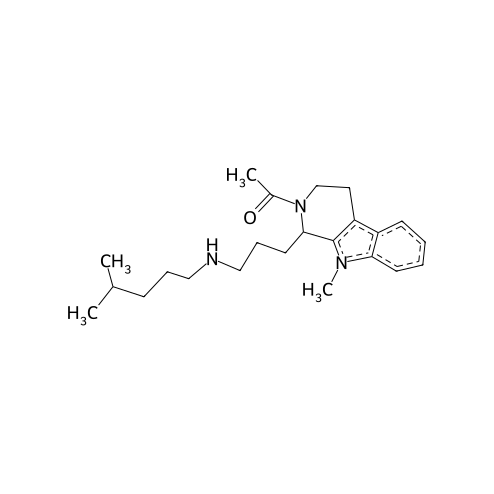 CC(=O)N1CCc2c(n(C)c3ccccc23)C1CCCNCCCC(C)C